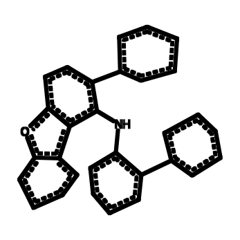 c1ccc(-c2ccccc2Nc2c(-c3ccccc3)ccc3oc4ccccc4c23)cc1